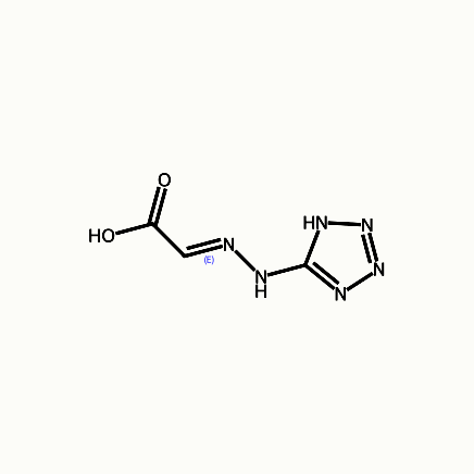 O=C(O)/C=N/Nc1nnn[nH]1